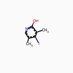 Cc1cnc(O)c(C)c1I